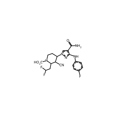 N#CC1C(CC(F)F)N(C(=O)O)CCC1n1cc(C(N)=O)c(Nc2ccc(F)cc2)n1